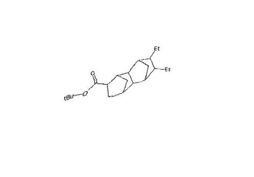 CCC1C(CC)C2CC1C1C3CC(C(=O)OC(C)(C)C)C(C3)C21